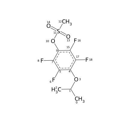 CC(C)Oc1c(F)c(F)c(OS(C)(=O)=O)c(F)c1F